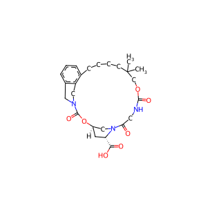 CC1(C)CCCCc2cccc3c2CN(C3)C(=O)O[C@@H]2C[C@@H](C(=O)O)N(C2)C(=O)CNC(=O)OC1